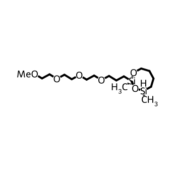 COCCOCCOCCOCCC[Si]1(C)OCCCC[SiH](C)O1